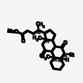 CC[C@H]1C(=O)C2C3CCC([C@H](C)CCC(=O)OC)[C@@]3(C)CC(=O)C2[C@@]2(C)CCCC[C@@H]12